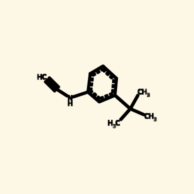 C#CNc1cccc(C(C)(C)C)c1